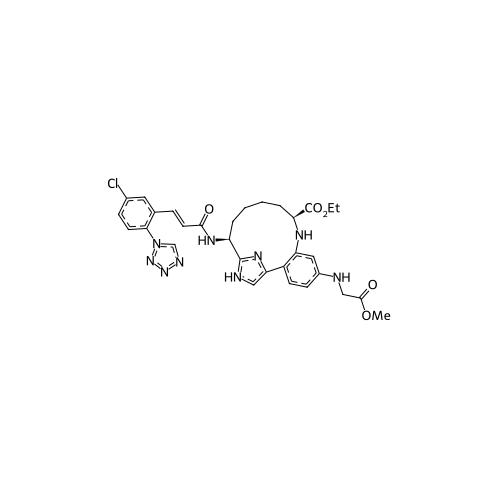 CCOC(=O)[C@@H]1CCCC[C@H](NC(=O)/C=C/c2cc(Cl)ccc2-n2cnnn2)c2nc(c[nH]2)-c2ccc(NCC(=O)OC)cc2N1